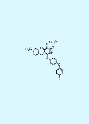 CCOC(=O)On1c(=O)[nH]/c(=N\c2ccc(Oc3ccc(F)cn3)cc2)n(Cc2ccc(C)cc2)c1=O